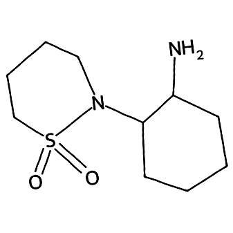 NC1CCCCC1N1CCCCS1(=O)=O